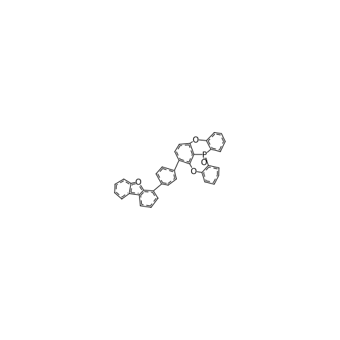 O=P12c3ccccc3Oc3ccc(-c4ccc(-c5cccc6c5oc5ccccc56)cc4)c(c31)Oc1ccccc12